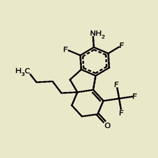 CCCCC12CCC(=O)C(C(F)(F)F)=C1c1cc(F)c(N)c(F)c1C2